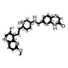 COc1ccc2ncc(F)c(CCC3CCC(NCc4ccc5c(n4)NC(=O)CS5)CN3)c2n1